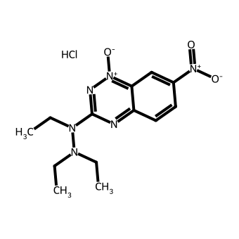 CCN(CC)N(CC)c1nc2ccc([N+](=O)[O-])cc2[n+]([O-])n1.Cl